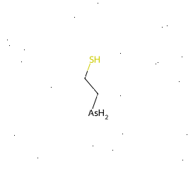 SCC[AsH2]